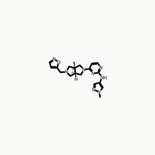 Cn1cc(Nc2nccc(N3C[C@@H]4CN(Cc5ccno5)C[C@]4(C)C3)n2)cn1